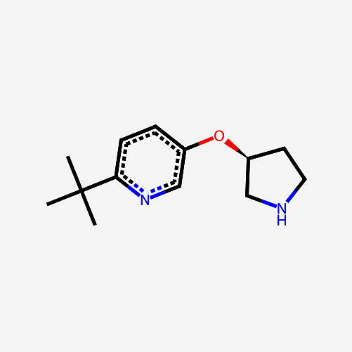 CC(C)(C)c1ccc(O[C@H]2CCNC2)cn1